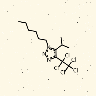 CCCCCCn1nnc(C(Cl)(Cl)C(Cl)(Cl)Cl)c1C(C)C